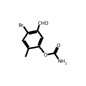 Cc1cc(Br)c(C=O)cc1OC(N)=O